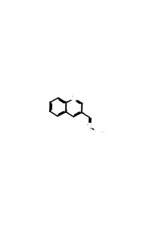 CN=Cc1cnc2ccccc2c1